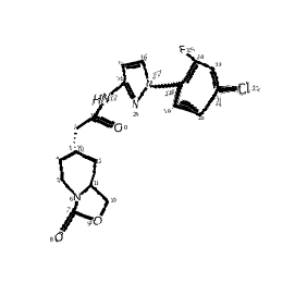 O=C(C[C@H]1CCN2C(=O)OCC2C1)Nc1ccn(-c2ccc(Cl)cc2F)n1